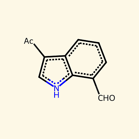 CC(=O)c1c[nH]c2c(C=O)cccc12